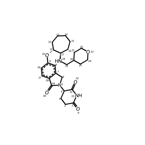 O=C1CCC(N2Cc3cc(O[C@@H]4CCCCC[C@H]4NCC4CCOCC4)ccc3C2=O)C(=O)N1